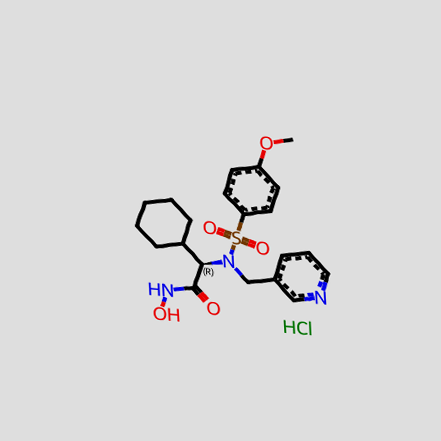 COc1ccc(S(=O)(=O)N(Cc2cccnc2)[C@@H](C(=O)NO)C2CCCCC2)cc1.Cl